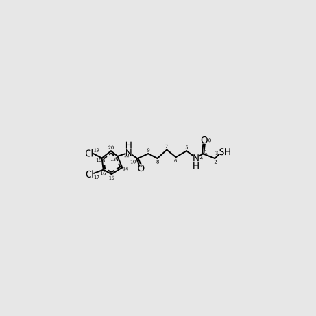 O=C(CS)NCCCCCC(=O)Nc1ccc(Cl)c(Cl)c1